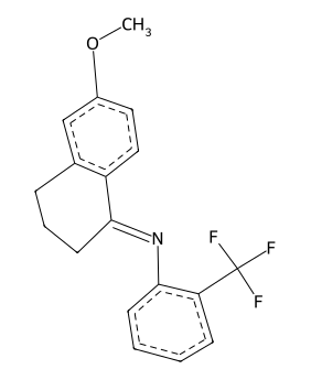 COc1ccc2c(c1)CCCC2=Nc1ccccc1C(F)(F)F